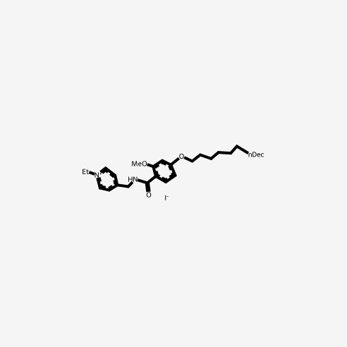 CCCCCCCCCCCCCCCCOc1ccc(C(=O)NCc2cc[n+](CC)cc2)c(OC)c1.[I-]